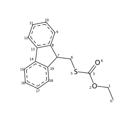 CCOC(=O)SCC1c2ccccc2-c2ccccc21